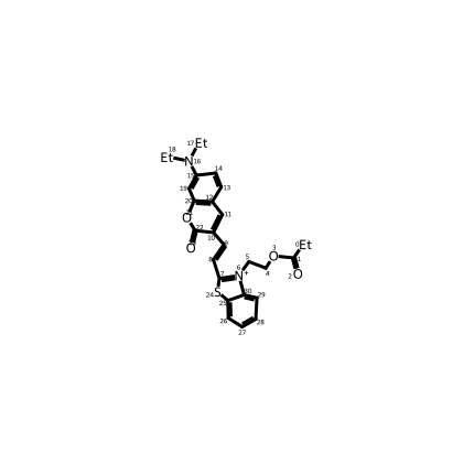 CCC(=O)OCC[n+]1c(/C=C/c2cc3ccc(N(CC)CC)cc3oc2=O)sc2ccccc21